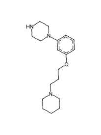 c1cc(OCCCN2CCCCC2)cc(N2CCNCC2)c1